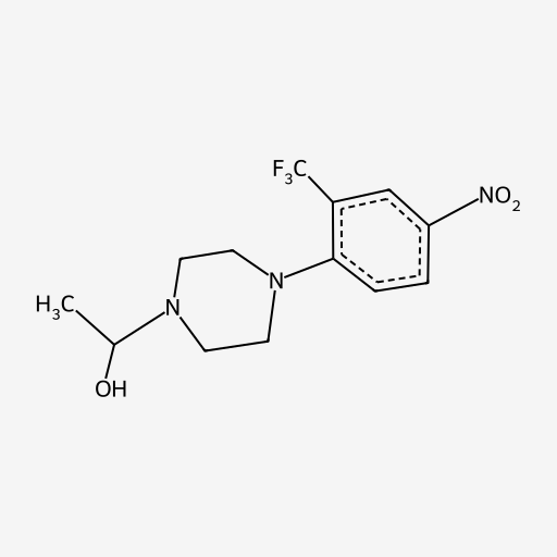 CC(O)N1CCN(c2ccc([N+](=O)[O-])cc2C(F)(F)F)CC1